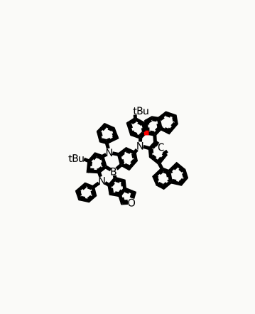 CC(C)(C)c1ccc(N(c2ccc3c(c2)N(c2ccccc2)c2cc(C(C)(C)C)cc4c2B3c2cc3cocc3cc2N4c2ccccc2)c2cc(-c3cccc4ccccc34)ccc2-c2cccc3ccccc23)cc1